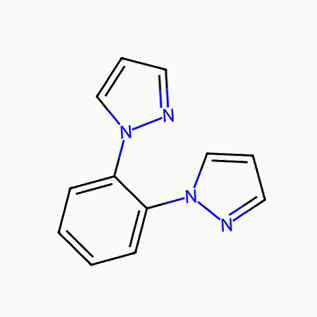 c1ccc(-n2cccn2)c(-n2cccn2)c1